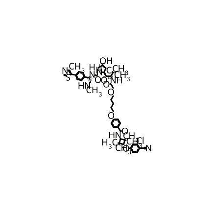 CNC[C@H](NC(=O)N1C[C@@H](O)CC1C(=O)[C@@H](NC(=O)COCCCCCOc1ccc(C(=O)N[C@H]2C(C)(C)[C@H](Oc3ccc(C#N)c(Cl)c3)C2(C)C)cc1)C(C)(C)C)c1ccc(-c2scnc2C)cc1